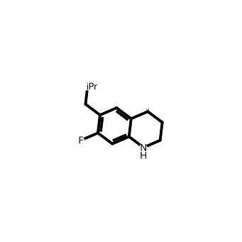 CC(C)Cc1cc2c(cc1F)NCC[C]2